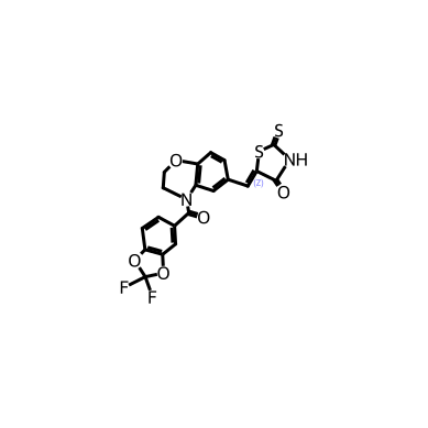 O=C1NC(=S)S/C1=C\c1ccc2c(c1)N(C(=O)c1ccc3c(c1)OC(F)(F)O3)CCO2